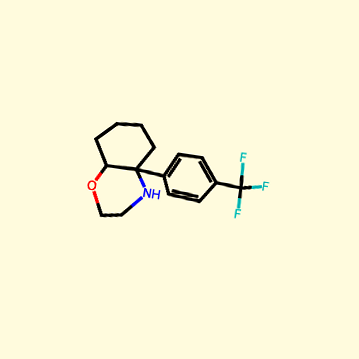 FC(F)(F)c1ccc(C23CCCCC2OCCN3)cc1